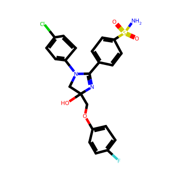 NS(=O)(=O)c1ccc(C2=NC(O)(COc3ccc(F)cc3)CN2c2ccc(Cl)cc2)cc1